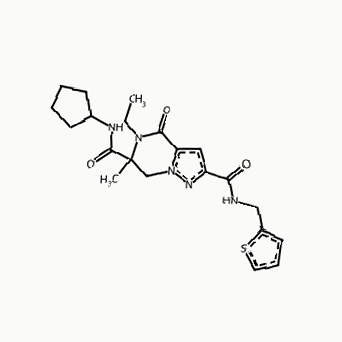 CCN1C(=O)c2cc(C(=O)NCc3cccs3)nn2CC1(C)C(=O)NC1CCCC1